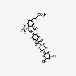 CN(c1ccc(/C=C/C(=O)O)cc1C(=O)Nc1ccc(S(=O)(=O)N2CCN(c3cc(Cl)cc(Cl)c3)CC2)cc1)S(C)(=O)=O